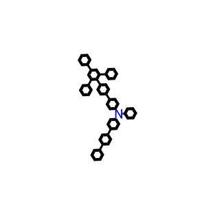 c1ccc(-c2ccc(-c3ccc(N(c4ccccc4)c4ccc(-c5ccc(-c6c(-c7ccccc7)cc(-c7ccccc7)cc6-c6ccccc6)cc5)cc4)cc3)cc2)cc1